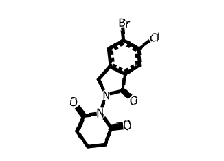 O=C1c2cc(Cl)c(Br)cc2CN1N1C(=O)CCCC1=O